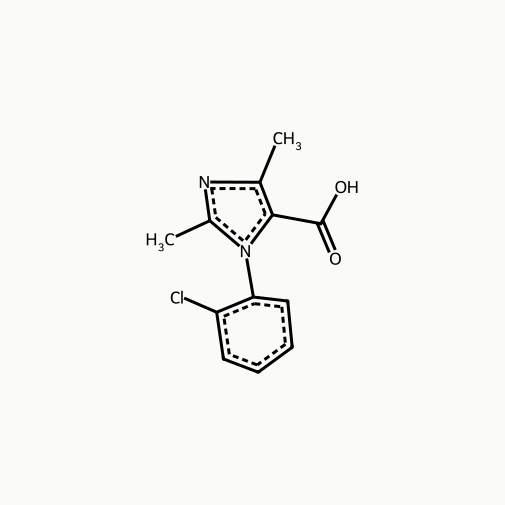 Cc1nc(C)n(-c2ccccc2Cl)c1C(=O)O